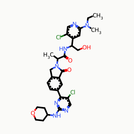 CCN(C)c1cc(C(CO)NC(=O)C(C)N2Cc3ccc(-c4nc(NC5CCOCC5)ncc4Cl)cc3C2=O)c(Cl)cn1